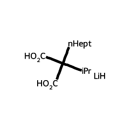 CCCCCCCC(C(=O)O)(C(=O)O)C(C)C.[LiH]